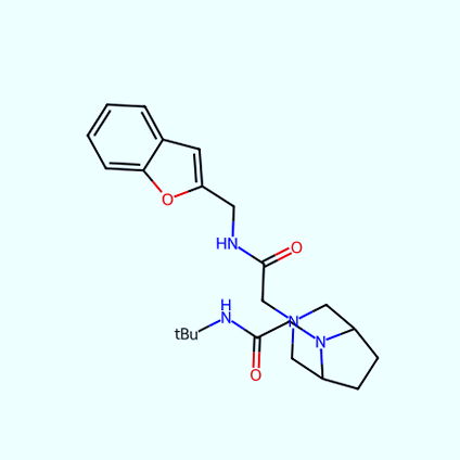 CC(C)(C)NC(=O)CN1C2CCC1CN(CC(=O)NCc1cc3ccccc3o1)C2